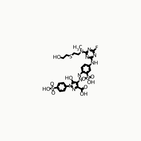 CN(CCSCCO)c1nc(F)nc(Nc2ccc(/N=N/c3c(C(=O)O)nn(-c4ccc(S(=O)(=O)O)cc4)c3O)c(S(=O)(=O)O)c2)n1